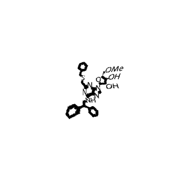 COC[C@H]1O[C@@H](n2cnc3c(NCC(c4ccccc4)c4ccccc4)nc(CSCc4ccccc4)nc32)[C@H](O)[C@@H]1O